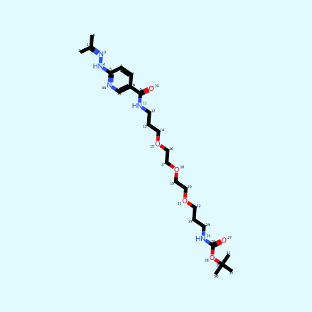 CC(C)=NNc1ccc(C(=O)NCCCOCCOCCOCCCNC(=O)OC(C)(C)C)cn1